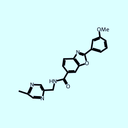 COc1cccc(-c2nc3ccc(C(=O)NCc4cnc(C)cn4)cc3o2)c1